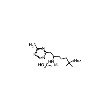 CC(=O)O.CCCCCCC(C)(C)CCCC(Cc1ncnc(N)n1)NCC